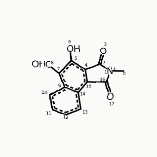 C[N+]1C(=O)c2c(O)c(C=O)c3ccccc3c2C1=O